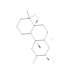 CC(=O)O[C@@H]1C[C@@H]2CC[C@H]3C(C)(C)CCC[C@]3(C)[C@@]2(C)CC1C